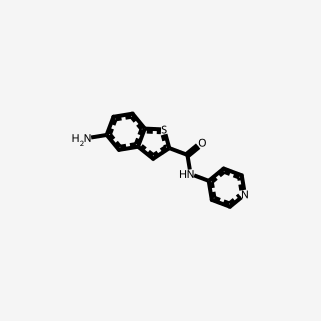 Nc1ccc2sc(C(=O)Nc3ccncc3)cc2c1